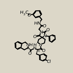 COc1cccc(CNC(=O)CN2C(=O)N(c3ccccc3)C3(CCN(C(=O)[C@@H](Cc4ccc(Cl)cc4)NC(=O)[C@H]4Cc5ccccc5CN4)CC3)C2=O)c1